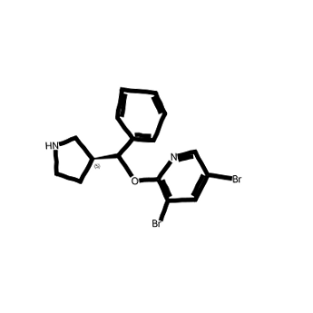 Brc1cnc(OC(c2ccccc2)[C@H]2CCNC2)c(Br)c1